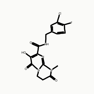 CN1C(=O)CCn2c1nc(C(=O)NCc1ccc(F)c(Cl)c1)c(O)c2=O